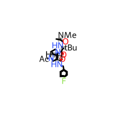 CN[C@@H](C)C(=O)N[C@H](C(=O)N1CC[C@@H]2[C@H]1[C@@H](C(=O)NCc1ccc(F)cc1)CN2C(C)=O)C(C)(C)C